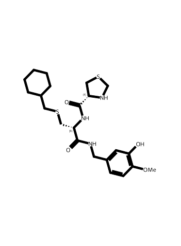 COc1ccc(CNC(=O)[C@H](CSCC2CCCCC2)NC(=O)[C@@H]2CSCN2)cc1O